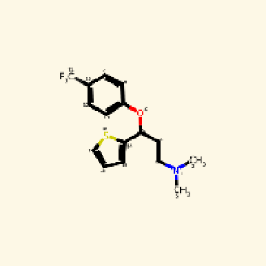 CN(C)CCC(Oc1ccc(C(F)(F)F)cc1)c1cccs1